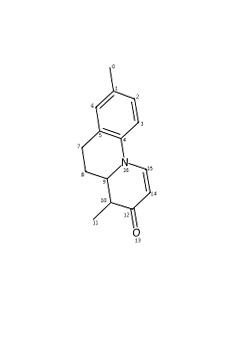 Cc1ccc2c(c1)CCC1C(C)C(=O)C=CN21